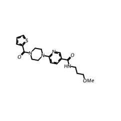 COCCCNC(=O)c1ccc(N2CCN(C(=O)c3cccs3)CC2)nc1